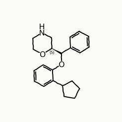 c1ccc(C(Oc2ccccc2C2CCCC2)[C@@H]2CNCCO2)cc1